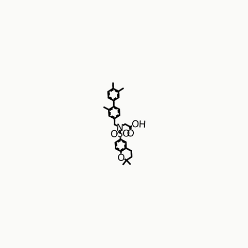 Cc1ccc(-c2ccc(CN(CC(=O)O)S(=O)(=O)c3ccc4c(c3)CCC(C)(C)O4)cc2C)cc1C